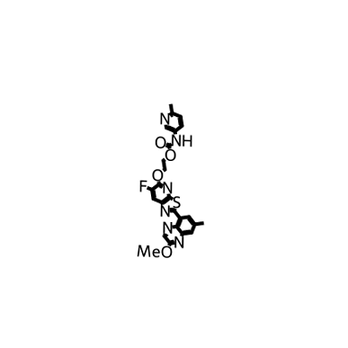 COc1cnc2c(-c3nc4cc(F)c(OCCOC(=O)Nc5ccc(C)nc5)nc4s3)cc(C)cc2n1